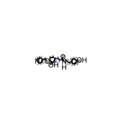 O=C(/C=C/c1ccc(OCc2ccncc2)c(O)c1)NCCc1ccc(O)cc1